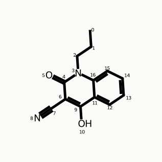 CCCn1c(=O)c(C#N)c(O)c2ccccc21